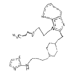 CCOCCn1c(CC2CCN(CCNc3nccs3)CC2)nc2cccnc21